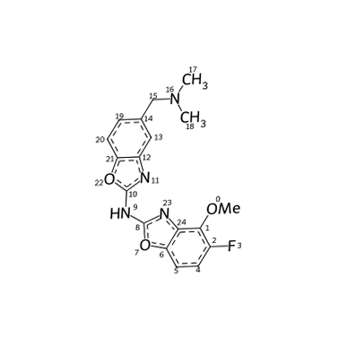 COc1c(F)ccc2oc(Nc3nc4cc(CN(C)C)ccc4o3)nc12